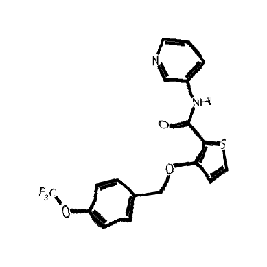 O=C(Nc1cccnc1)c1sccc1OCc1ccc(OC(F)(F)F)cc1